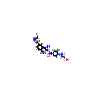 COCCNC1CCN(C(=O)Nc2cc3cc(-c4nnc(C)s4)ccc3cn2)C[C@@H]1F